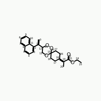 C=C(c1cccc2ccccc12)C1COC2(CCC(=C(C)C(=O)OCC)CC2)OO1